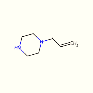 C=C[CH]N1CCNCC1